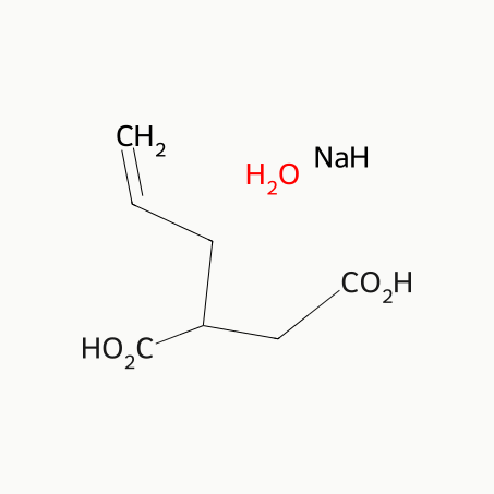 C=CCC(CC(=O)O)C(=O)O.O.[NaH]